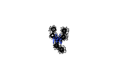 C1=CCC(c2cccc(-c3nc(-c4cccc(-c5ccccc5)c4)nc(-c4cccc(-c5ccccc5)c4)n3)c2)C=C1